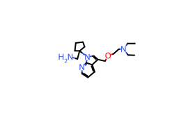 CCN(CC)CCOCc1cn(C2(CN)CCCC2)c2ncccc12